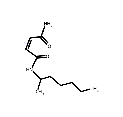 CCCCCC(C)NC(=O)/C=C\C(N)=O